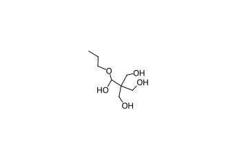 CCCOC(O)C(CO)(CO)CO